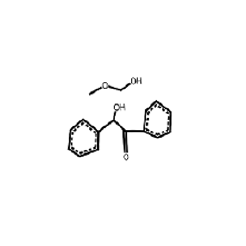 COCO.O=C(c1ccccc1)C(O)c1ccccc1